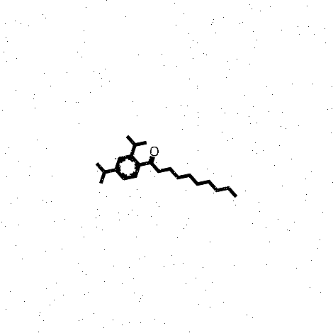 CCCCCCCCCC(=O)c1ccc(C(C)C)[c]c1C(C)C